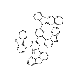 c1ccc2cc3c(cc2c1)c1ccccc1n3-c1ccc(C2=NC(c3cccc4oc5ccccc5c34)NC(c3cccc4oc5ccccc5c34)=N2)c(-c2cccc3sc4ccccc4c23)c1